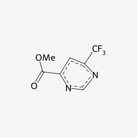 COC(=O)c1cc(C(F)(F)F)ncn1